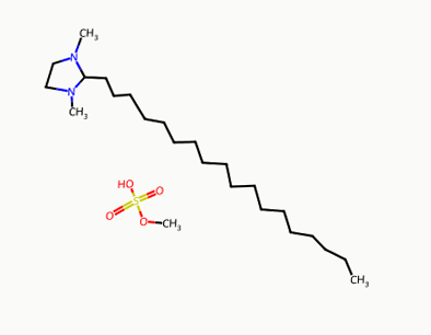 CCCCCCCCCCCCCCCCCCC1N(C)CCN1C.COS(=O)(=O)O